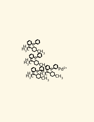 CC1CCC(C(C)C)C(P(c2ccccc2)c2ccccc2)C1.CC1CCC(C(C)C)C(P(c2ccccc2)c2ccccc2)C1.CC1CCC(C(C)C)C(P(c2ccccc2)c2ccccc2)C1.CC1CCC(C(C)C)C(P(c2ccccc2)c2ccccc2)C1.[Pd+2]